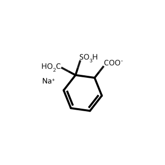 O=C([O-])C1C=CC=CC1(C(=O)O)S(=O)(=O)O.[Na+]